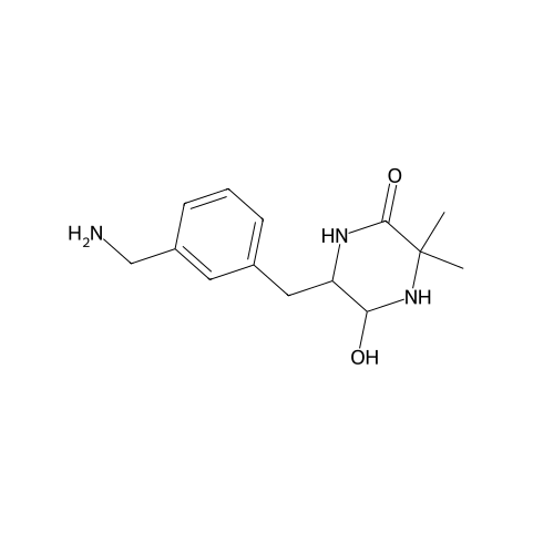 CC1(C)NC(O)C(Cc2cccc(CN)c2)NC1=O